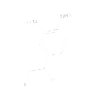 CC(=O)Nc1ccc(C(=O)CF)cc1[N+](=O)[O-]